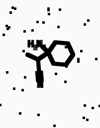 CC(C#N)C1(N)CCCCC1